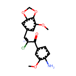 COc1cc(C(=O)/C(Cl)=C\c2cc(OC)c3c(c2)OCO3)ccc1N